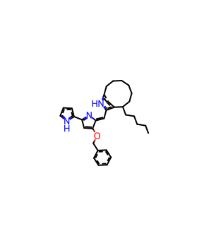 CCCCCC1CCCCCCc2cc1c(C=C1N=C(c3ccc[nH]3)C=C1OCc1ccccc1)[nH]2